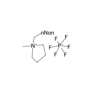 CCCCCCCCCC[N+]1(C)CCCC1.F[P-](F)(F)(F)(F)F